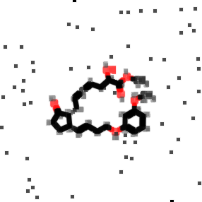 COC(=O)C(O)CC=C=CC[C@H]1C(=O)CC[C@@H]1/C=C/CCOc1cccc(OC)c1